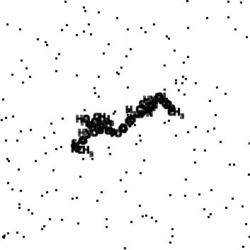 COC1CCN(c2nccc(Nc3cc4c(cn3)nc(COCCN3CCN(c5ccc(O[C@H]6C[C@H](OCC(=O)N[C@H](C(=O)N7C[C@H](O)C[C@H]7C(=O)NCc7ccc(-c8scnc8C)cc7)C(C)(C)C)C6)cc5)CC3)n4C(C)C)n2)CC1